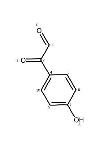 O=CC(=O)c1c[c]c(O)cc1